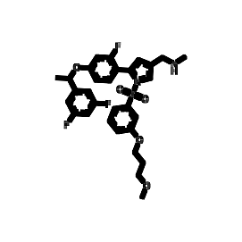 CNCc1cc(-c2ccc(OC(C)c3cc(F)cc(F)c3)cc2F)n(S(=O)(=O)c2cccc(OCCCOC)c2)c1